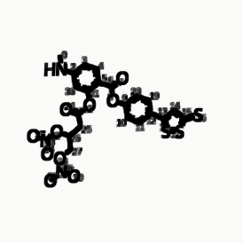 CNc1ccc(C(=O)Oc2ccc(-c3cc(=S)ss3)cc2)c(OC(=O)CC(CO[N+](=O)[O-])O[N+](=O)[O-])c1